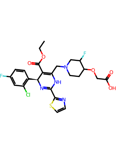 CCOC(=O)C1=C(CN2CCC(OCC(=O)O)C(F)C2)NC(c2nccs2)=N[C@H]1c1ccc(F)cc1Cl